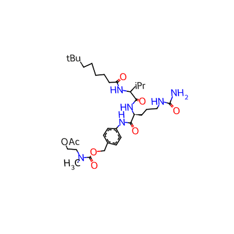 CC(=O)OCCN(C)C(=O)OCc1ccc(NC(=O)[C@H](CCCNC(N)=O)NC(=O)C(NC(=O)CCCCCC(C)(C)C)C(C)C)cc1